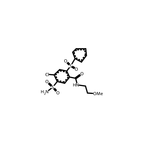 COCCNC(=O)c1cc(S(N)(=O)=O)c(Cl)cc1S(=O)(=O)c1ccccc1